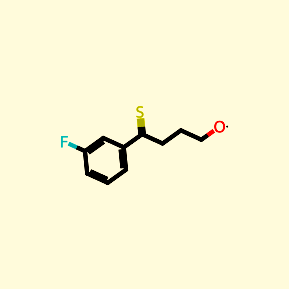 [O]CCCC(=S)c1cccc(F)c1